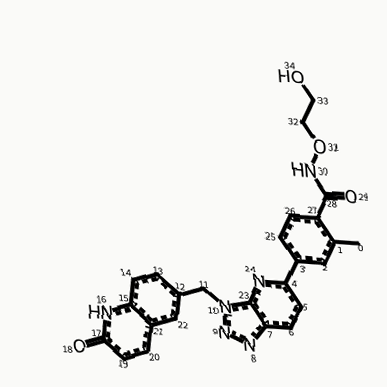 Cc1cc(-c2ccc3nnn(Cc4ccc5[nH]c(=O)ccc5c4)c3n2)ccc1C(=O)NOCCO